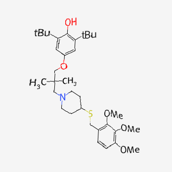 COc1ccc(CSC2CCN(CC(C)(C)COc3cc(C(C)(C)C)c(O)c(C(C)(C)C)c3)CC2)c(OC)c1OC